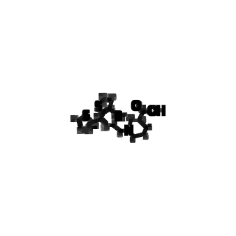 O=C(O)C1CCCN(CCC=C(c2cccs2)c2sccc2Br)C1